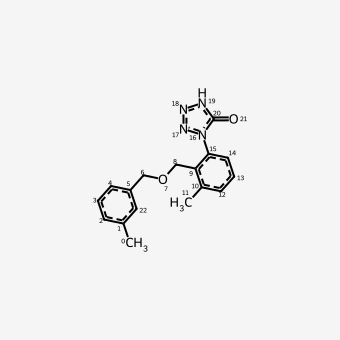 Cc1cccc(COCc2c(C)cccc2-n2nn[nH]c2=O)c1